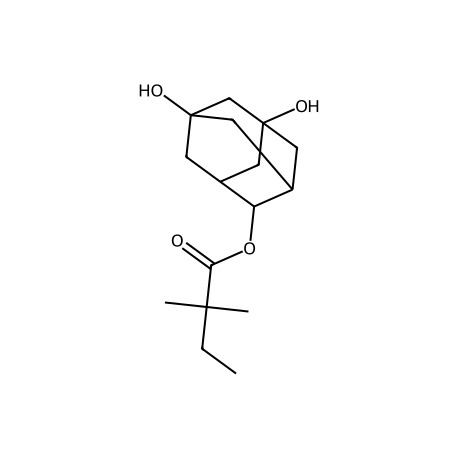 CCC(C)(C)C(=O)OC1C2CC3(O)CC1CC(O)(C2)C3